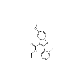 CCOC(=O)c1c(-c2ccccc2F)oc2ccc(OC)cc12